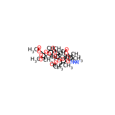 COC1C(C)[C@H](O[C@@H]2C(COC(C)=O)O[C@H](OC)C(C)[C@H]2C)O[C@@H](C)[C@H]1O[C@H]1O[C@@H](COC(C)=O)[C@@H](O[C@@H]2OC(C)[C@@H](O[C@H]3OC(COC(C)=O)[C@@H](C)[C@H](C)C3N=[N+]=[N-])[C@H](C)C2C)C(C)C1C